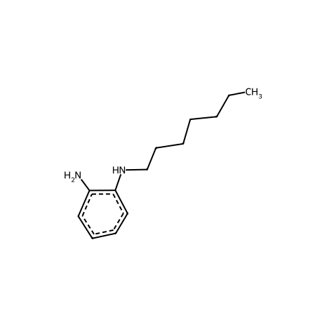 CCCCCCCNc1ccccc1N